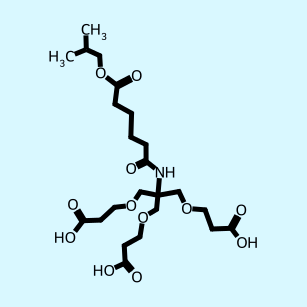 CC(C)COC(=O)CCCCC(=O)NC(COCCC(=O)O)(COCCC(=O)O)COCCC(=O)O